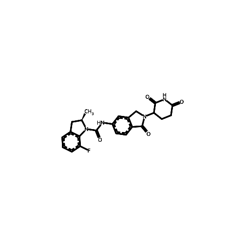 C[C@@H]1Cc2cccc(F)c2N1C(=O)Nc1ccc2c(c1)CN(C1CCC(=O)NC1=O)C2=O